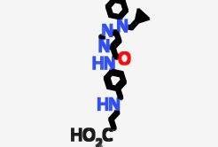 O=C(O)CCCNCc1ccc(NC(=O)c2cc(N(CC3CC3)C3CCCCC3)ncn2)cc1